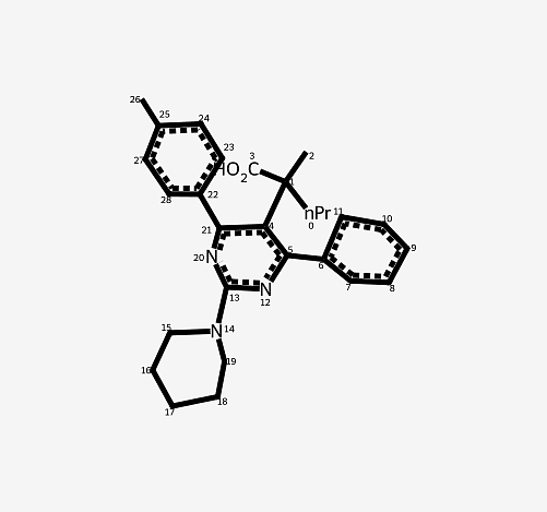 CCCC(C)(C(=O)O)c1c(-c2ccccc2)nc(N2CCCCC2)nc1-c1ccc(C)cc1